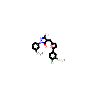 O=C(O)c1cccc(N2N=C(C(F)(F)F)/C(=C/c3ccc(-c4ccc(Cl)c(C(=O)O)c4)o3)C2=O)c1